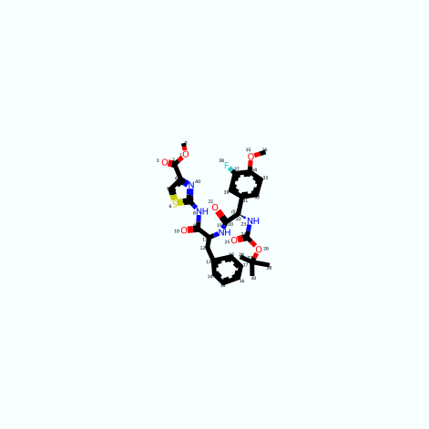 COC(=O)c1csc(NC(=O)C(Cc2ccccc2)NC(=O)[C@@H](NC(=O)OC(C)(C)C)c2ccc(OC)c(F)c2)n1